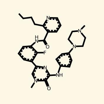 CCCCc1ncccc1C(=O)Nc1cccc(-c2cn(C)c(=O)c(Nc3ccc(N4CCN(C)CC4)cc3)n2)c1F